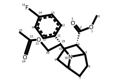 COC(=O)[C@@H]1C2CCC(C[C@@H]1c1ccc(F)cc1)N2CCOC(C)=O